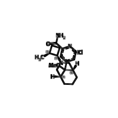 COC1(c2ccnc(C(N)=O)c2)[C@@H]2CCC[C@H]1CN([C@@H]1CC[C@@H]1C)C2.Cl